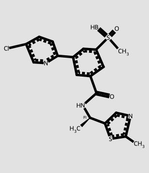 B=S(C)(=O)c1cc(C(=O)N[C@H](C)c2cnc(C)s2)cc(-c2ccc(Cl)cn2)c1